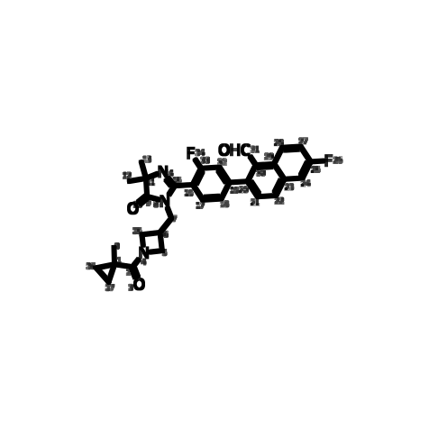 CC1(C(=O)N2CC(CN3C(=O)C(C)(C)N=C3c3ccc(-c4ccc5cc(F)ccc5c4C=O)cc3F)C2)CC1